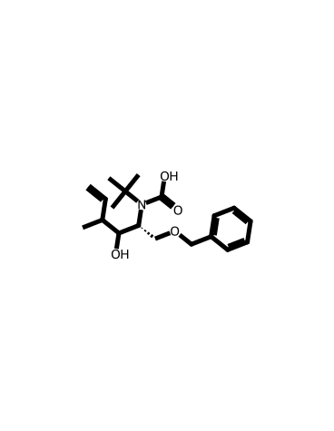 C=CC(C)C(O)[C@@H](COCc1ccccc1)N(C(=O)O)C(C)(C)C